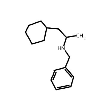 CC(CC1CCCCC1)NCc1[c]cccc1